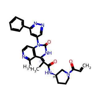 C=CC(=O)N1CCC[C@@H](NC(=O)/C(C)=C2\NC(=O)N(c3cnnc(-c4ccccc4)c3)c3ccnc(C)c32)C1